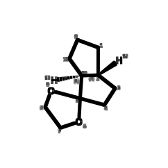 C1C[C@@H]2CCC3(OCCO3)[C@H]2C1